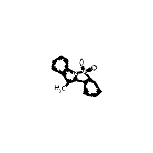 Cc1c2n(c3ccccc13)S(=O)(=O)c1ccccc1-2